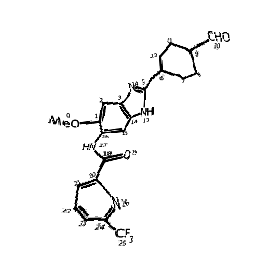 COc1cc2nc(C3CCC(C=O)CC3)[nH]c2cc1NC(=O)c1cccc(C(F)(F)F)n1